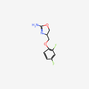 NC1=NC(COc2ccc(F)cc2F)CO1